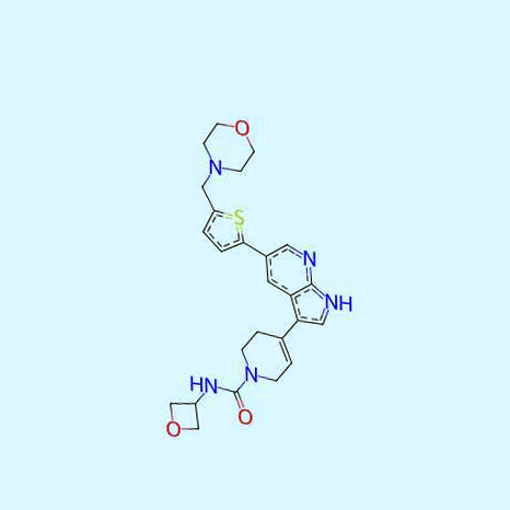 O=C(NC1COC1)N1CC=C(c2c[nH]c3ncc(-c4ccc(CN5CCOCC5)s4)cc23)CC1